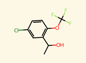 CC(O)c1cc(Cl)ccc1OC(F)(F)F